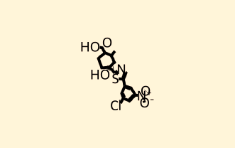 CC1C[C@](O)(c2ncc(-c3cc(Cl)cc([N+](=O)[O-])c3)s2)CCC1C(=O)O